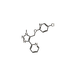 Cn1nnc(-c2ccccn2)c1COc1ccc(Cl)cn1